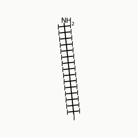 NC(I)(I)C(I)(I)C(I)(I)C(I)(I)C(I)(I)C(I)(I)C(I)(I)C(I)(I)C(I)(I)C(I)(I)C(I)(I)C(I)(I)C(I)(I)C(I)(I)C(I)(I)I